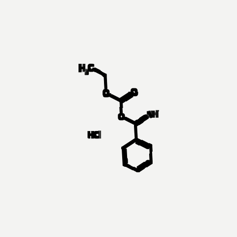 CCOC(=O)OC(=N)c1ccccc1.Cl